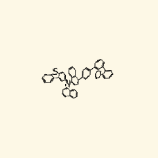 c1ccc2c(N(c3ccc4sc5ccccc5c4c3)c3ccc(-c4ccc(-c5cccc6c5oc5ccccc56)cc4)c4ccccc34)cccc2c1